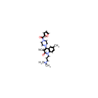 Cc1ccc2c(c1)c(N1CCN(C(=O)c3ccco3)CC1)c(C#N)c(=O)n2CCCN(C)C